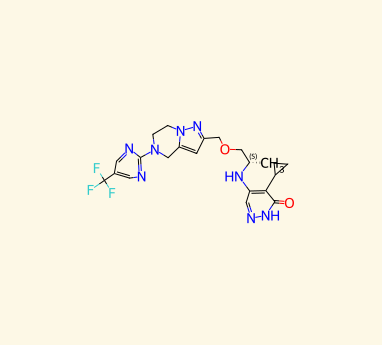 C[C@@H](COCc1cc2n(n1)CCN(c1ncc(C(F)(F)F)cn1)C2)Nc1cn[nH]c(=O)c1C1CC1